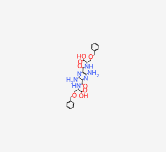 Nc1nc(C(=O)N[C@H](COCc2ccccc2)C(=O)O)c(N)nc1C(=O)N[C@H](COCc1ccccc1)C(=O)O